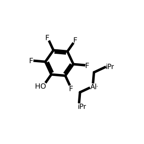 CC(C)[CH2][Al][CH2]C(C)C.Oc1c(F)c(F)c(F)c(F)c1F